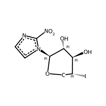 O=[N+]([O-])c1nccn1[C@@H]1OC[C@@H](I)[C@H](O)[C@H]1O